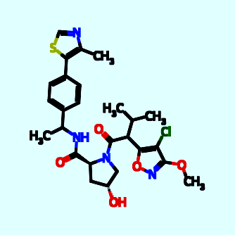 COc1noc(C(C(=O)N2C[C@H](O)C[C@H]2C(=O)NC(C)c2ccc(-c3scnc3C)cc2)C(C)C)c1Cl